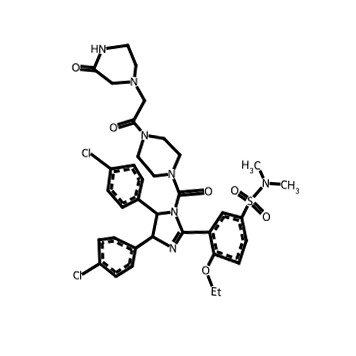 CCOc1ccc(S(=O)(=O)N(C)C)cc1C1=NC(c2ccc(Cl)cc2)C(c2ccc(Cl)cc2)N1C(=O)N1CCN(C(=O)CN2CCNC(=O)C2)CC1